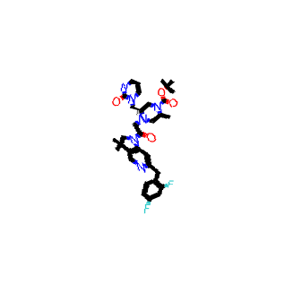 CC1CN(CC(=O)N2CC(C)(C)c3cnc(Cc4ccc(F)cc4F)cc32)[C@@H](Cn2cccnc2=O)CN1C(=O)OC(C)(C)C